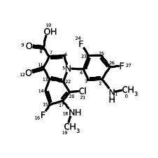 CNc1cc(-n2cc(C(=O)O)c(=O)c3cc(F)c(NC)c(Cl)c32)c(F)cc1F